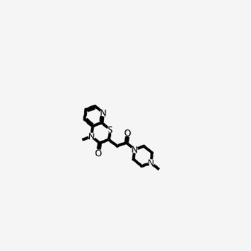 CN1CCN(C(=O)CC2Sc3ncccc3N(C)C2=O)CC1